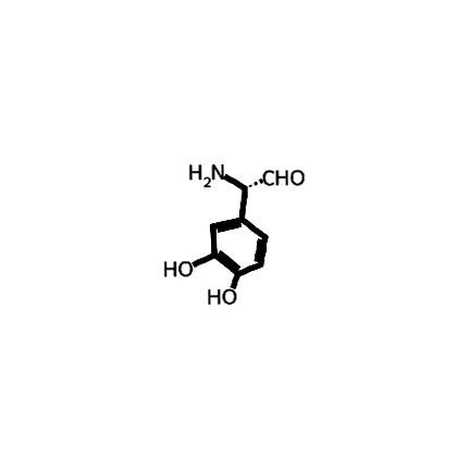 N[C@H](C=O)c1ccc(O)c(O)c1